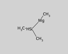 [CH3][Mg][SiH](C)C